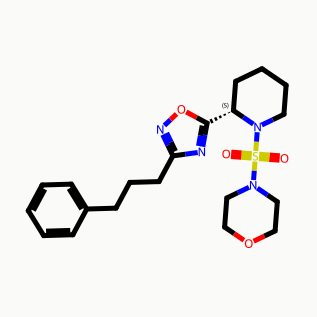 O=S(=O)(N1CCOCC1)N1CCCC[C@H]1c1nc(CCCc2ccccc2)no1